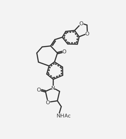 CC(=O)NCC1CN(c2ccc3c(c2)CCCC(=Cc2ccc4c(c2)OCO4)C3=O)C(=O)O1